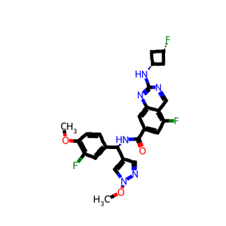 COc1ccc([C@H](NC(=O)c2cc(F)c3cnc(N[C@H]4C[C@@H](F)C4)nc3c2)c2cnn(OC)c2)cc1F